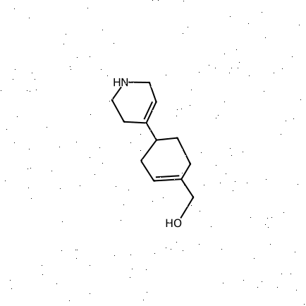 OCC1=CCC(C2=CCNCC2)CC1